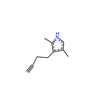 C#CCCc1c(C)c[nH]c1C